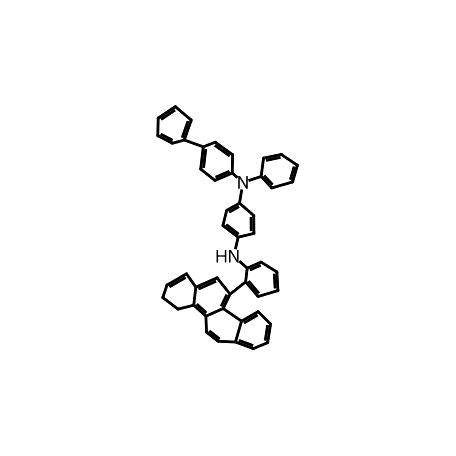 C1=Cc2cc(-c3ccccc3Nc3ccc(N(c4ccccc4)c4ccc(-c5ccccc5)cc4)cc3)c3c(ccc4ccccc43)c2CC1